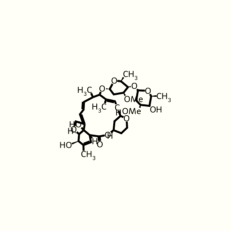 CO[C@H]1CC(O[C@H]2[C@H](C)O[C@@H](OC3/C(C)=C/C[C@@H]4C[C@@H](CCO4)OC(=O)[C@@H]4C=C(C)[C@@H](O)[C@H]5OC/C(=C\C=C\C3C)C54O)C[C@@H]2OC)O[C@@H](C)[C@@H]1O